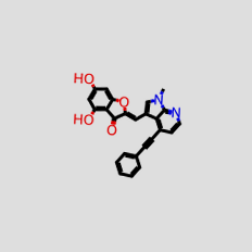 Cn1cc(/C=C2\Oc3cc(O)cc(O)c3C2=O)c2c(C#Cc3ccccc3)ccnc21